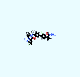 CC(C)(F)C[C@H](N)C(=O)N([C@@H](c1ccc(-c2ccc(C3(C(N)=O)CC3)cc2F)cc1)C(F)(F)F)C1(C#N)CC1